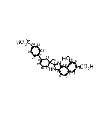 CC1(c2nc3c(ccc4cc(C(=O)O)cc(O)c43)[nH]2)C=CC=C(c2ccc(C(=O)O)cc2)C1